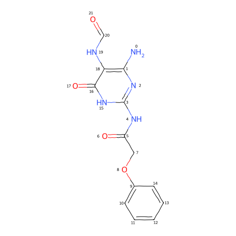 Nc1nc(NC(=O)COc2ccccc2)[nH]c(=O)c1NC=O